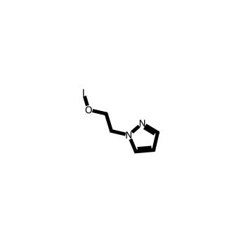 IOCCn1cccn1